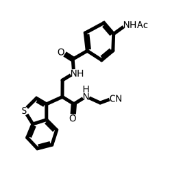 CC(=O)Nc1ccc(C(=O)NCC(C(=O)NCC#N)c2csc3ccccc23)cc1